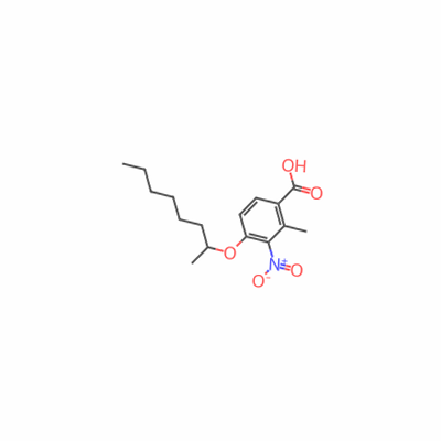 CCCCCCC(C)Oc1ccc(C(=O)O)c(C)c1[N+](=O)[O-]